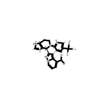 FC(F)c1cccn2nc([C@H]3c4nc[nH]c4CCN3c3ccc(C(F)(F)F)cn3)cc12